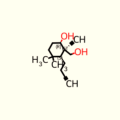 C#CCC[C@H]1C(C)(C)CC[C@@H](O)[C@@]1(C#C)CO